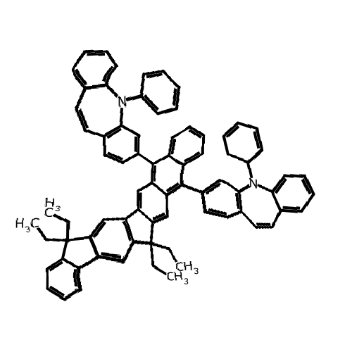 CCC1(CC)c2ccccc2-c2cc3c(cc21)-c1cc2c(-c4ccc5c(c4)N(c4ccccc4)c4ccccc4C=C5)c4ccccc4c(-c4ccc5c(c4)N(C4C=CC=CC4)c4ccccc4C=C5)c2cc1C3(CC)CC